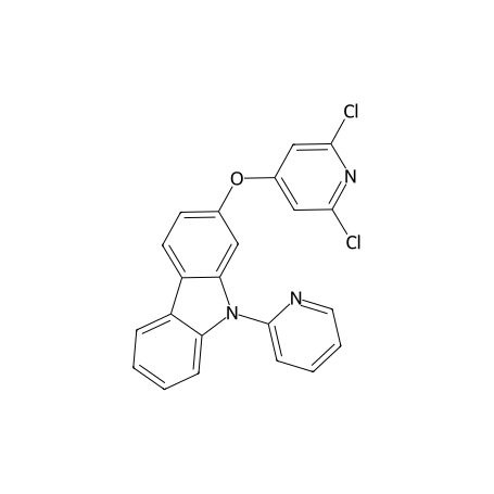 Clc1cc(Oc2ccc3c4ccccc4n(-c4ccccn4)c3c2)cc(Cl)n1